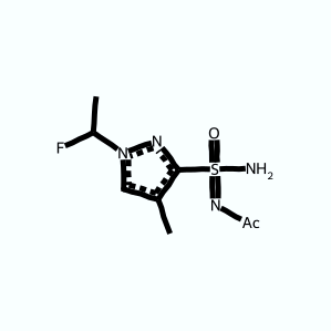 CC(=O)N=S(N)(=O)c1nn(C(C)F)cc1C